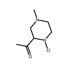 CC(=O)C1CN(C)CCN1Cl